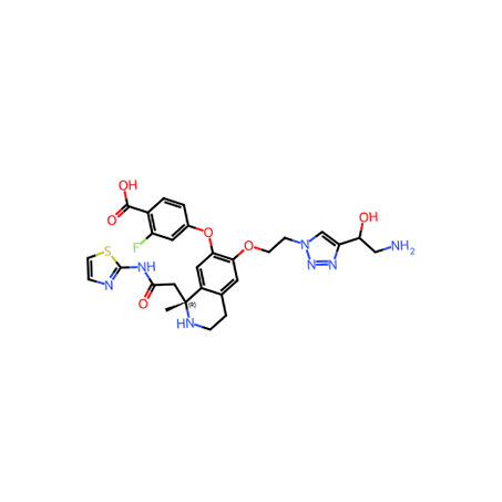 C[C@]1(CC(=O)Nc2nccs2)NCCc2cc(OCCn3cc(C(O)CN)nn3)c(Oc3ccc(C(=O)O)c(F)c3)cc21